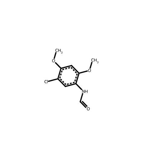 COc1cc(OC)c(NC=O)cc1Cl